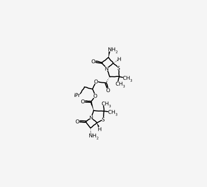 CC(C)CC(OC(=O)[C@@H]1N2C(=O)[C@@H](N)[C@H]2SC1(C)C)OC(=O)[C@@H]1N2C(=O)[C@@H](N)[C@H]2SC1(C)C